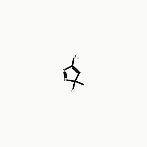 CC1(Cl)[C]=C(C(F)(F)F)N=N1